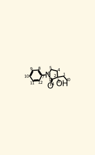 [CH2]C[C@]1(O)CCN(c2ccccc2)C1=O